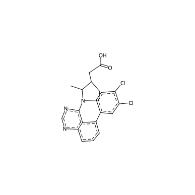 CC1C(CC(=O)O)CCN1c1ncnc2cccc(-c3ccc(Cl)c(Cl)c3)c12